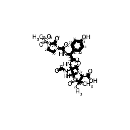 CC1(C)[C@H](C(=O)O)N2C(=O)[C@@](NC=O)(NC(=O)C(NC(=O)N3CCN(S(C)(=O)=O)C3=O)c3ccc(O)cc3)[C@H]2[S+]1[O-]